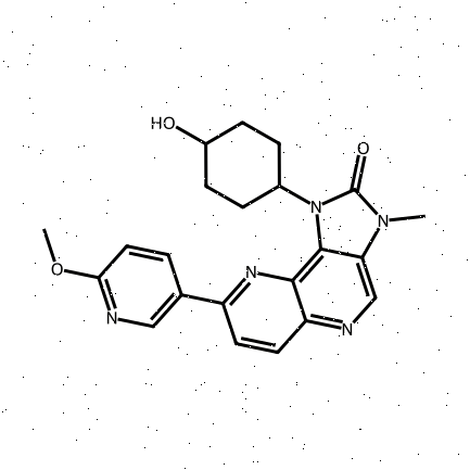 COc1ccc(-c2ccc3ncc4c(c3n2)n(C2CCC(O)CC2)c(=O)n4C)cn1